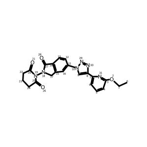 CCOc1cccc(-c2cn(-c3ccc4c(c3)CN(N3C(=O)CCCC3=O)C4=O)nn2)n1